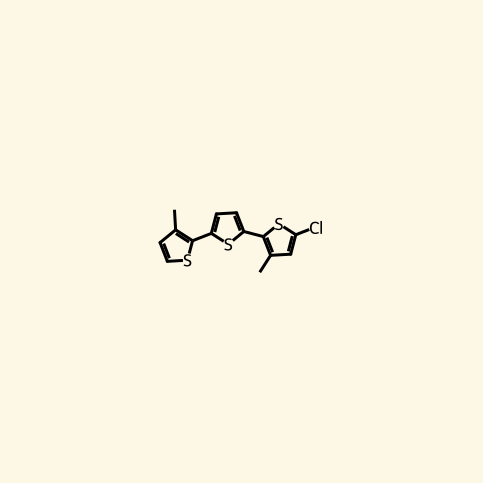 Cc1ccsc1-c1ccc(-c2sc(Cl)cc2C)s1